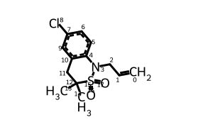 C=CCN1c2ccc(Cl)cc2CC(C)(C)S1(=O)=O